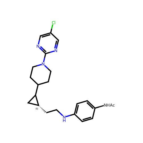 CC(=O)Nc1ccc(NCC[C@@H]2CC2C2CCN(c3ncc(Cl)cn3)CC2)cc1